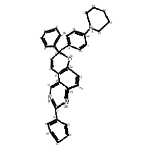 C1=CC(c2ccccc2)(c2ccc(N3CCCCC3)cc2)Oc2ccc3nc(-c4ccccc4)ncc3c21